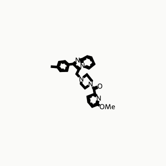 COc1cccc(C(=O)N2CCN(Cc3c(-c4ccc(C)cc4)nc4ccccn34)CC2)n1